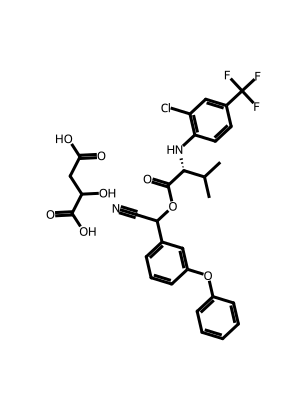 CC(C)[C@@H](Nc1ccc(C(F)(F)F)cc1Cl)C(=O)OC(C#N)c1cccc(Oc2ccccc2)c1.O=C(O)CC(O)C(=O)O